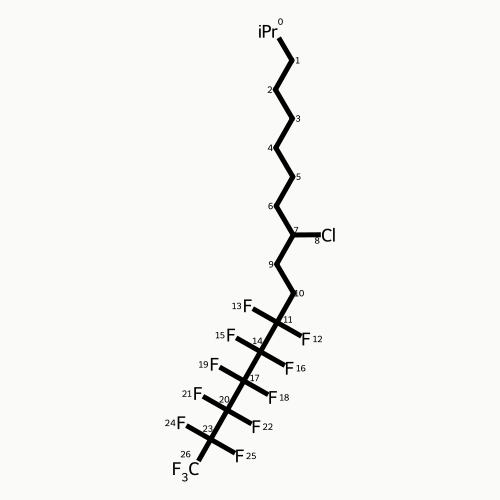 CC(C)CCCCCCC(Cl)CCC(F)(F)C(F)(F)C(F)(F)C(F)(F)C(F)(F)C(F)(F)F